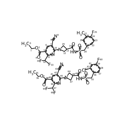 CCOC(=O)c1cc(C#N)c(N2CC(C(=O)NS(=O)(=O)Cc3ccc(F)c(C)c3)C2)nc1C(F)F.CCOC(=O)c1cc(C#N)c(N2CC(C(=O)NS(=O)(=O)Cc3ccc(F)cc3Cl)C2)nc1C(F)F